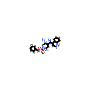 NC(c1ccnc2ccccc12)C1CCN(C(=O)OCc2ccccc2)CC1